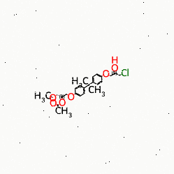 COC[C@H](COc1ccc(C(C)(C)c2ccc(OC[C@H](O)CCl)cc2)cc1)OC(C)=O